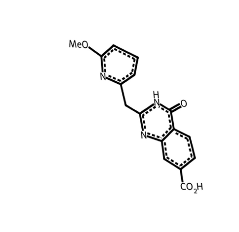 COc1cccc(Cc2nc3cc(C(=O)O)ccc3c(=O)[nH]2)n1